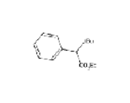 CCOC(=O)C(c1ccccc1)C(C)(C)C